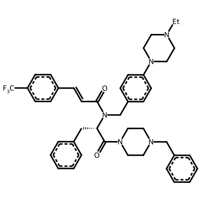 CCN1CCN(c2ccc(CN(C(=O)C=Cc3ccc(C(F)(F)F)cc3)[C@@H](Cc3ccccc3)C(=O)N3CCN(Cc4ccccc4)CC3)cc2)CC1